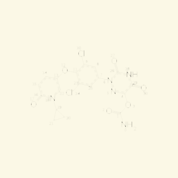 NC(=O)Oc1nn(-c2cc(Cl)c(Oc3ccc(=O)n(C4CC4)c3)c(Cl)c2)c(=O)[nH]c1=O